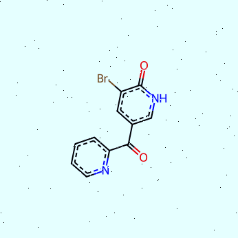 O=C(c1c[nH]c(=O)c(Br)c1)c1ccccn1